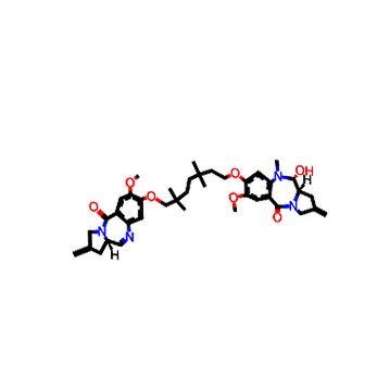 C=C1C[C@H]2C=Nc3cc(OCC(C)(C)CCC(C)(C)CCOc4cc5c(cc4OC)C(=O)N4CC(=C)C[C@H]4[C@H](O)N5C)c(OC)cc3C(=O)N2C1